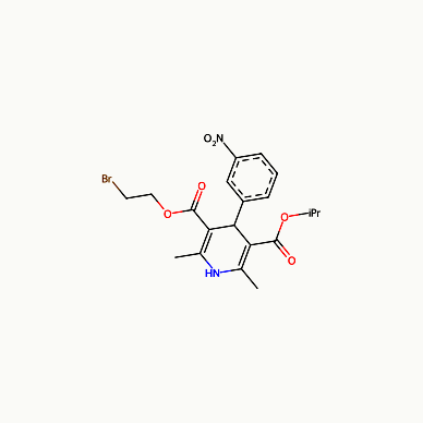 CC1=C(C(=O)OCCBr)C(c2cccc([N+](=O)[O-])c2)C(C(=O)OC(C)C)=C(C)N1